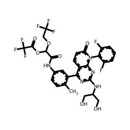 Cc1ccc(NC(=O)C(OCC(F)(F)F)OC(=O)C(F)(F)F)cc1-c1nc(NC(CO)CO)nc2c1ccc(=O)n2-c1c(F)cccc1F